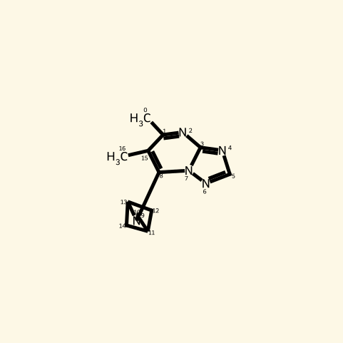 Cc1nc2ncnn2c(N2CC3CC2C3)c1C